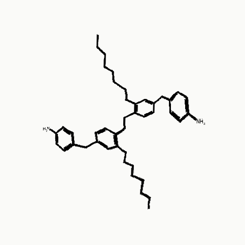 CCCCCCCCc1cc(Cc2ccc(N)cc2)ccc1CCc1ccc(Cc2ccc(N)cc2)cc1CCCCCCCC